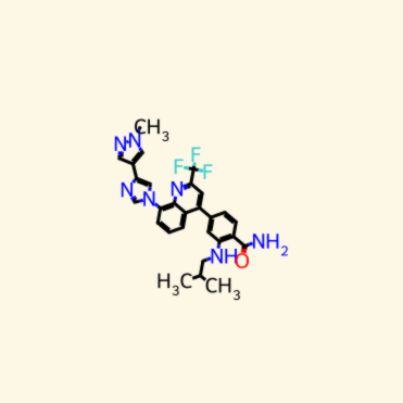 CC(C)CNc1cc(-c2cc(C(F)(F)F)nc3c(-n4cnc(-c5cnn(C)c5)c4)cccc23)ccc1C(N)=O